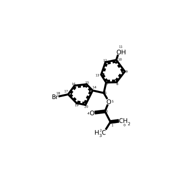 C=C(C)C(=O)OC(c1ccc(O)cc1)c1ccc(Br)cc1